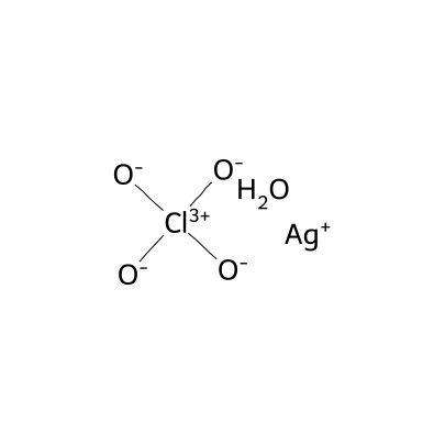 O.[Ag+].[O-][Cl+3]([O-])([O-])[O-]